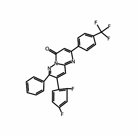 O=c1cc(-c2ccc(C(F)(F)F)cc2)nc2cc(-c3ccc(F)cc3F)c(-c3ccccc3)nn12